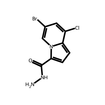 NNC(=O)c1ccc2c(Cl)cc(Br)cn12